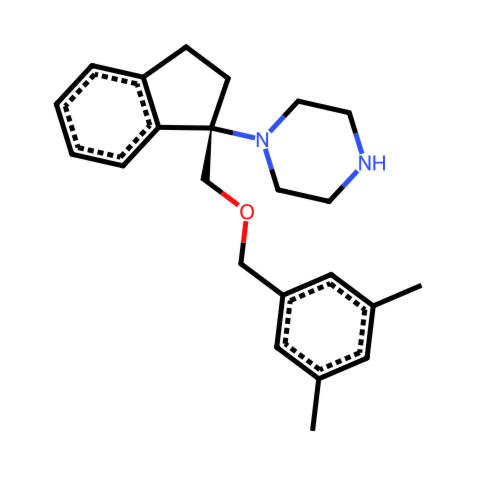 Cc1cc(C)cc(COC[C@]2(N3CCNCC3)CCc3ccccc32)c1